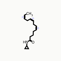 C/C=C\C/C=C\C/C=C\CCCC(=O)NC1CC1